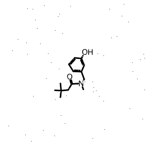 CN(Cc1cccc(O)c1)C(=O)CC(C)(C)C